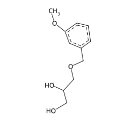 COc1cccc(COCC(O)CO)c1